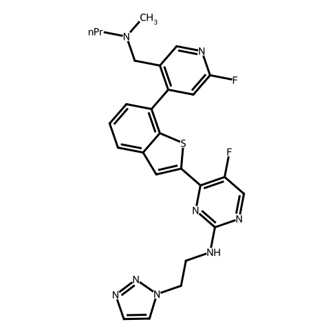 CCCN(C)Cc1cnc(F)cc1-c1cccc2cc(-c3nc(NCCn4ccnn4)ncc3F)sc12